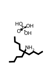 CCCCC(N)(CCCC)CCCC.O=P(O)(O)O